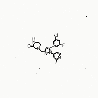 Cc1cc(-n2nc(CN3CCNC(=O)C3)cc2-c2cc(F)cc(Cl)c2)ccn1